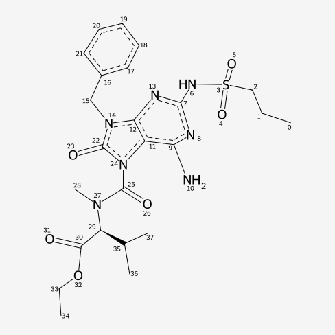 CCCS(=O)(=O)Nc1nc(N)c2c(n1)n(Cc1ccccc1)c(=O)n2C(=O)N(C)[C@H](C(=O)OCC)C(C)C